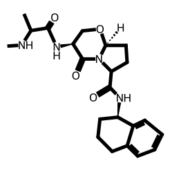 CNC(C)C(=O)N[C@H]1CO[C@H]2CCC(C(=O)N[C@@H]3CCCc4ccccc43)N2C1=O